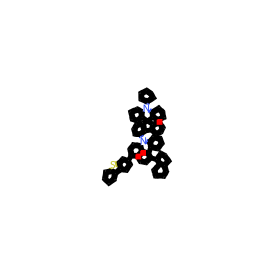 c1ccc(N2c3ccccc3C3(c4ccccc4-c4c(N(c5ccc(-c6ccc7c(c6)sc6ccccc67)cc5)c5ccccc5-c5ccccc5-c5cccc6ccccc56)cccc43)c3ccccc32)cc1